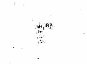 B.[Ce].[Fe].[InH3].[La].[Nd]